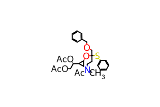 CC(=O)OCC(OC(C)=O)C1CC1OC(CCN(C)C(C)=O)(COCc1ccccc1)Sc1ccccc1